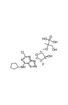 CC(CO)(OC[C@H]1O[C@@H](n2ncc3c(NC4CCCC4)nc(Cl)nc32)[C@@H](F)[C@@H]1O)P(=O)(O)O